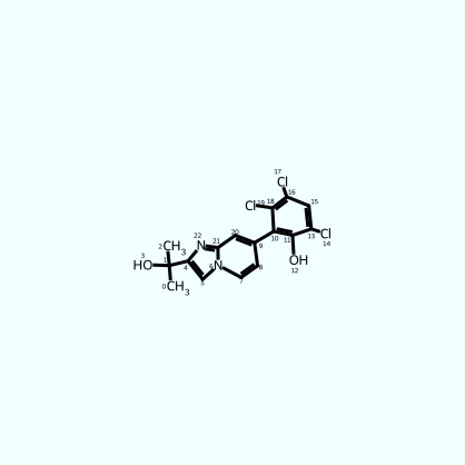 CC(C)(O)c1cn2ccc(-c3c(O)c(Cl)cc(Cl)c3Cl)cc2n1